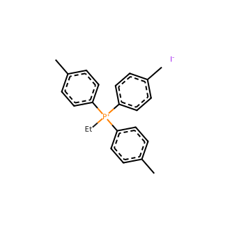 CC[P+](c1ccc(C)cc1)(c1ccc(C)cc1)c1ccc(C)cc1.[I-]